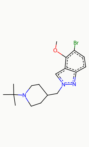 COc1c(Br)ccc2nn(CC3CCN(C(C)(C)C)CC3)cc12